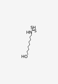 OCCCCCCCCCNC(=S)S